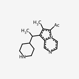 CC(=O)c1c(C)c(C(C)C2CCNCC2)c2cnccn12